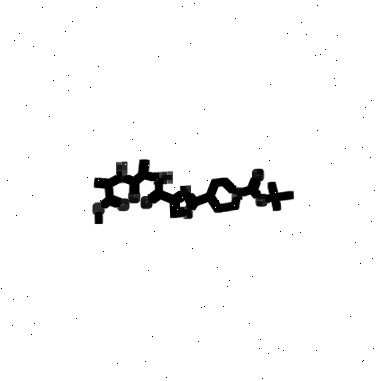 C=C(NC(=O)c1csc(C2CCN(C(=O)OC(C)(C)C)CC2)n1)C(=O)NC(=C)C(=O)OC